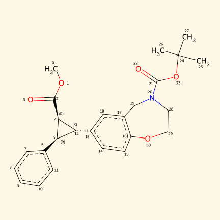 COC(=O)[C@@H]1[C@H](c2ccccc2)[C@H]1c1ccc2c(c1)CN(C(=O)OC(C)(C)C)CCO2